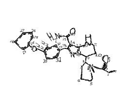 C=CC(=O)N1CCCC1C1CCNc2c(C(N)=O)c(-c3ccc(Oc4ccccc4)cc3)nn21